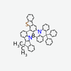 CC1(C)c2ccccc2-c2c1c1cccc3c1n2B1c2cccc4c2N(c2ccccc2C4(c2ccccc2)c2ccccc2)c2cc4c(sc5ccccc54)c-3c21